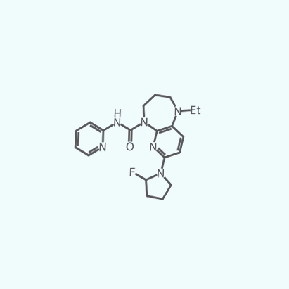 CCN1CCCN(C(=O)Nc2ccccn2)c2nc(N3CCCC3F)ccc21